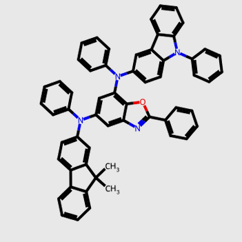 CC1(C)c2ccccc2-c2ccc(N(c3ccccc3)c3cc(N(c4ccccc4)c4ccc5c(c4)c4ccccc4n5-c4ccccc4)c4oc(-c5ccccc5)nc4c3)cc21